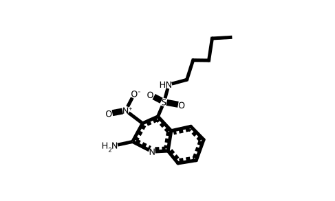 CCCCCNS(=O)(=O)c1c([N+](=O)[O-])c(N)nc2ccccc12